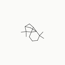 CC1(C)CCCC23C4CC(CC412)C3(C)C